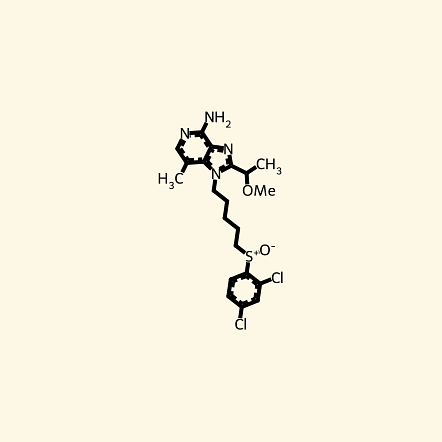 COC(C)c1nc2c(N)ncc(C)c2n1CCCCC[S+]([O-])c1ccc(Cl)cc1Cl